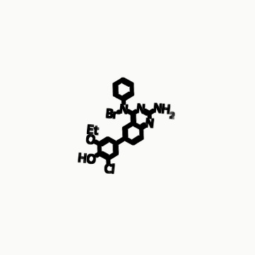 CCOc1cc(-c2ccc3nc(N)nc(N(Br)c4ccccc4)c3c2)cc(Cl)c1O